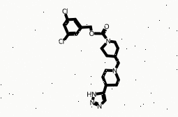 O=C(OCc1cc(Cl)cc(Cl)c1)N1CCC(CN2CCC(c3cnn[nH]3)CC2)CC1